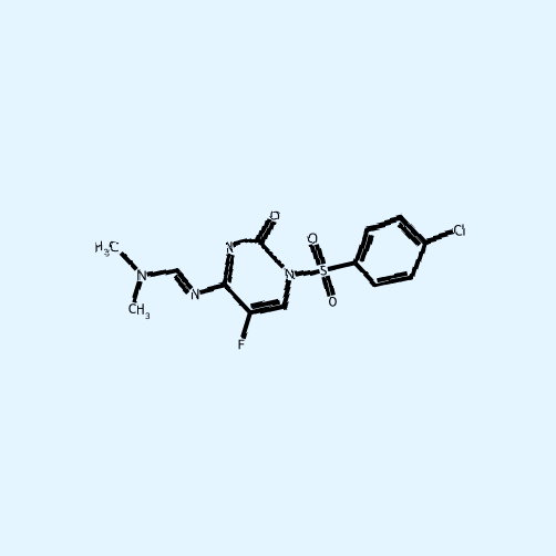 CN(C)C=Nc1nc(=O)n(S(=O)(=O)c2ccc(Cl)cc2)cc1F